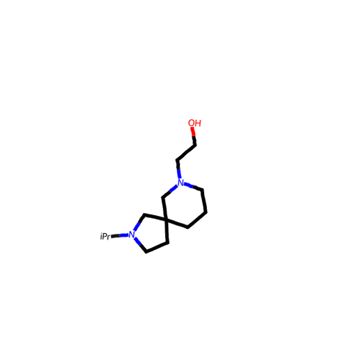 CC(C)N1CCC2(CCCN(CCO)C2)C1